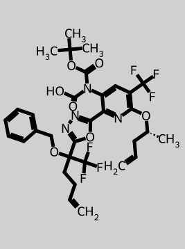 C=CCCC(OCc1ccccc1)(c1nnc(-c2nc(O[C@H](C)CC=C)c(C(F)(F)F)cc2N(C(=O)O)C(=O)OC(C)(C)C)o1)C(F)(F)F